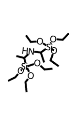 CCO[Si](OCC)(OCC)C(C)NC(C)[Si](OCC)(OCC)OCC